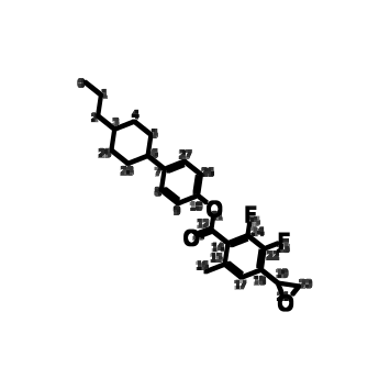 CCCC1CCC(c2ccc(OC(=O)c3c(C)cc(C4CO4)c(F)c3F)cc2)CC1